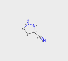 N#CC1=NN[CH]C1